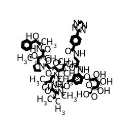 CC[C@H](C)[C@@H]([C@@H](CC(=O)N1CCC[C@H]1[C@H](OC)[C@@H](C)C(=O)N[C@H](C)[C@@H](O)c1ccccc1)OC)N(C)C(=O)[C@@H](NC(=O)[C@H](C(C)C)N(C)C(=O)OCc1ccc(O[C@H]2O[C@H](C(=O)O)[C@@H](O)[C@H](O)[C@H]2O)c(NC(=O)CCNC(=O)c2ccc(-c3nncnn3)cc2)c1)C(C)C